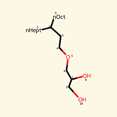 CCCCCCCCC(CCCCCCC)CCOCC(O)CO